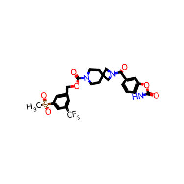 CS(=O)(=O)c1cc(COC(=O)N2CCC3(CC2)CN(C(=O)c2ccc4[nH]c(=O)oc4c2)C3)cc(C(F)(F)F)c1